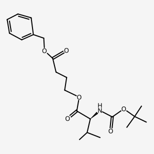 CC(C)[C@H](NC(=O)OC(C)(C)C)C(=O)OCCCC(=O)OCc1ccccc1